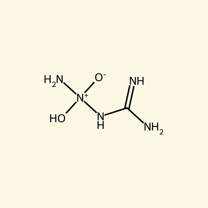 N=C(N)N[N+](N)([O-])O